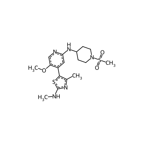 CNc1nc(C)c(-c2cc(NC3CCN(S(C)(=O)=O)CC3)ncc2OC)s1